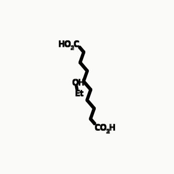 CCO.O=C(O)CCCCCCCCC(=O)O